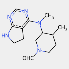 CC1CCN(C=O)CC1N(C)c1ncnc2c1CCN2